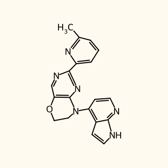 Cc1cccc(-c2ncc3c(n2)N(c2ccnc4[nH]ccc24)CCO3)n1